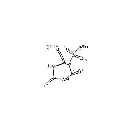 CCCCS(=O)(=O)C1C(=O)NC(=O)NC1=O.[NaH]